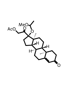 COC(C)O[C@]1(C(=O)COC(C)=O)CC[C@H]2[C@@H]3CCC4=CC(=O)CC[C@]4(C)[C@H]3CC[C@@]21C